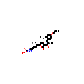 CCCOc1ccc(/C=C(\C)C(=O)c2c(O)cc(C(C)CC/C=C/NC(=O)O)oc2=O)c(C)c1